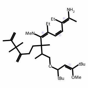 C=C(C)C(C)(C)C(=C)CCC(C)(\C(NC)=C(/C=C\C(CC)=C(/C)N)CC)C(C)COC(/C=C(\OC)C(C)(C)C)C(C)(C)C